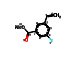 C=Cc1cc(F)cc(C(=O)OC)c1